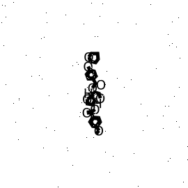 COc1ccc(C(=O)O[C@@H]2CO[C@H]3[C@@H]2OC[C@H]3OC(=O)c2ccc(OC3CCCCO3)cc2)cc1